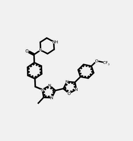 Cc1nc(-c2nc(-c3ccc(OC(F)(F)F)cc3)no2)nn1Cc1ccc(C(=O)N2CCNCC2)cc1